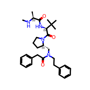 CN[C@@H](C)C(=O)N[C@H](C(=O)N1CCC[C@H]1CN(CCc1ccccc1)C(=O)Cc1ccccc1)C(C)(C)C